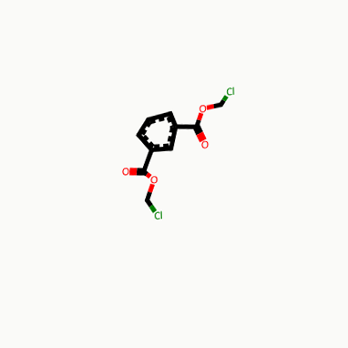 O=C(OCCl)c1cccc(C(=O)OCCl)c1